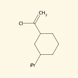 C=C(Cl)C1CCCC(C(C)C)C1